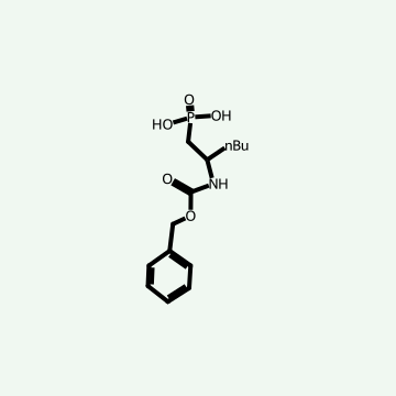 CCCCC(CP(=O)(O)O)NC(=O)OCc1ccccc1